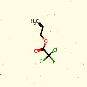 C=CCOC(=O)C(F)(Cl)Cl